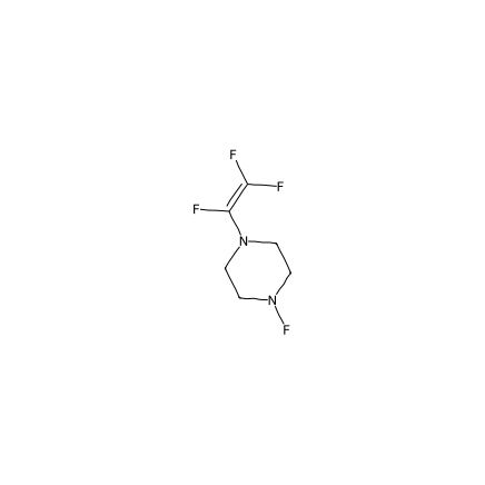 FC(F)=C(F)N1CCN(F)CC1